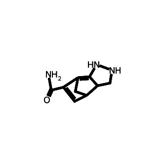 NC(=O)C1=CC2CC1=C1NNCC12